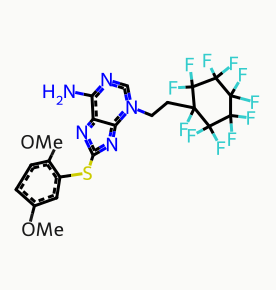 COc1ccc(OC)c(Sc2nc3c(N)ncn(CCC4(F)C(F)(F)C(F)(F)C(F)(F)C(F)(F)C4(F)F)c-3n2)c1